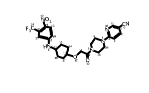 N#Cc1ccc(N2CCN(C(=O)COC3CCC(Nc4ccc([N+](=O)[O-])c(C(F)(F)F)c4)CC3)CC2)nc1